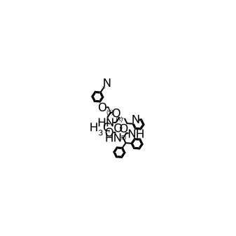 COC(=O)N[C@H](C(=O)Nc1cccnc1CC[C@@H]1CNC[C@@H](COc2cccc(C#N)c2)O1)C(c1ccccc1)c1ccccc1